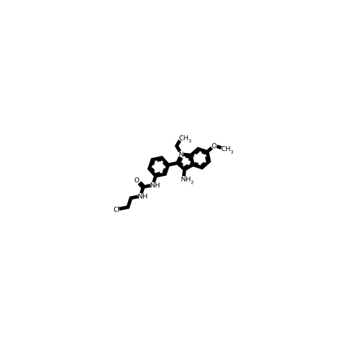 CCn1c(-c2cccc(NC(=O)NCCCl)c2)c(N)c2ccc(OC)cc21